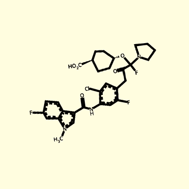 Cn1cc(C(=O)Nc2cc(F)c(CC(=O)C(F)(O[C@H]3CC[C@H](C(=O)O)CC3)N3CCCC3)cc2Cl)c2ccc(F)cc21